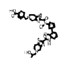 CC(O)CN1CCc2c(nc(C(=O)Nc3cccc(-c4cccc(N(Cl)C(=O)c5nc6c(n5C)CCN(CC57CCC(C(=O)O)(CC5)C7)C6)c4)c3Cl)n2C)C1